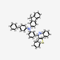 CC1(C)c2ccccc2-c2ccc(N(c3ccc(-c4ccccc4)cc3)c3cccc(-c4nc5ccccc5c5sc6ccccc6c45)c3)cc21